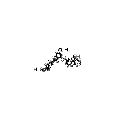 COc1cc(OCc2cccc(C3(OC)CCOCC3)n2)c2cc(-c3cn4nc(OC)sc4n3)oc2c1